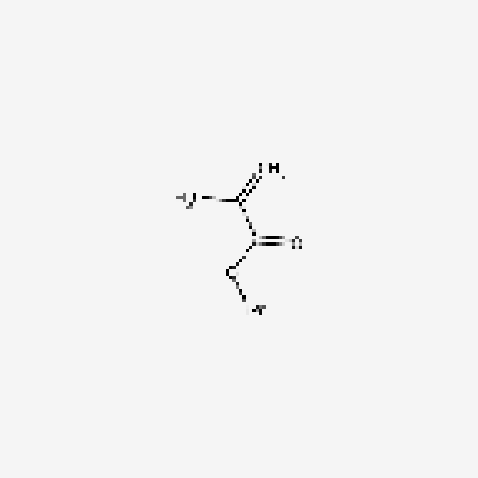 [CH2]C([CH2])OC(=O)C(=C)C